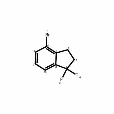 FC1(F)CCc2c(Br)cccc21